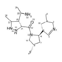 CC1CN=CC([C@H]2C[C@H](F)CN2C(=O)C2NNC(C)C2C(C)N)C1